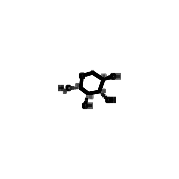 C[C@@H]1O[CH][C@@H](O)[C@H](O)[C@@H]1O